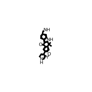 CC(C)Oc1cc2c(cc1C1=CCNCC1)C(=O)c1c([nH]c3cc(C=N)ccc13)C2(C)C